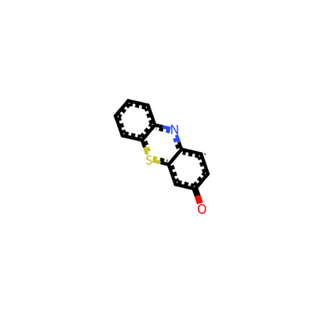 O=c1c[c]c2nc3ccccc3sc-2c1